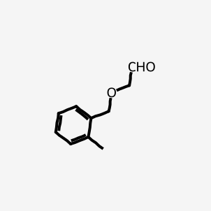 Cc1ccccc1COCC=O